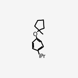 CC(C)c1ccc(OC2(C)CCCC2)cc1